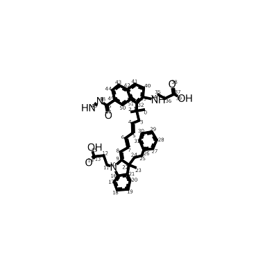 CC(C)(C/C=C/C=C/C=C1/N(CCC(=O)O)c2ccccc2C1(C)CCc1ccccc1)c1c(NCCC(=O)O)ccc2ccc(C(=O)N=N)cc12